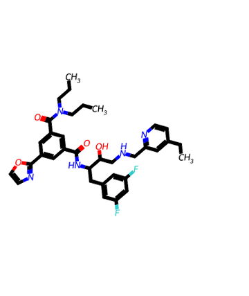 CCCN(CCC)C(=O)c1cc(C(=O)NC(Cc2cc(F)cc(F)c2)C(O)CNCc2cc(CC)ccn2)cc(-c2ncco2)c1